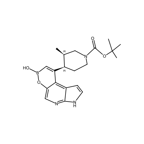 C[C@H]1CN(C(=O)OC(C)(C)C)CC[C@H]1C1=CB(O)Oc2cnc3[nH]ccc3c21